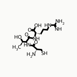 C[C@@H](O)[C@H](NC(=O)[C@@H](N)CS)C(=O)N[C@@H](CCCNC(=N)N)C(=O)O